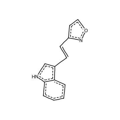 C(=Cc1c[nH]c2ccccc12)c1ccon1